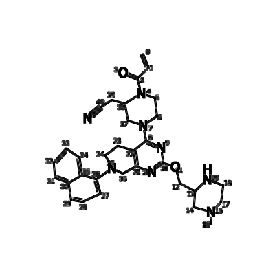 C=CC(=O)N1CCN(c2nc(OCC3CN(C)CCN3)nc3c2CCN(c2cccc4ccccc24)C3)CC1CC#N